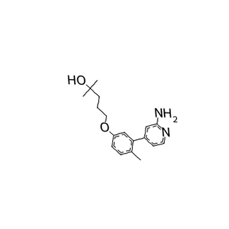 Cc1ccc(OCCCC(C)(C)O)cc1-c1ccnc(N)c1